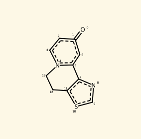 O=c1ccn2c(c1)-c1ncsc1CC2